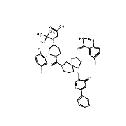 CC(C)(C)N(CC(=O)O)[C@@H]1CCN(C(=O)N2CC[C@@H](Cn3cnc(-c4ccccc4)cc3=O)C3(CCCC3)C2)[C@H](c2cc(F)ccc2F)C1.O=c1[nH]cnc2ccc(F)cc12